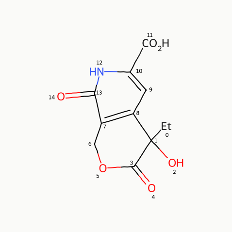 CCC1(O)C(=O)OCc2c1cc(C(=O)O)[nH]c2=O